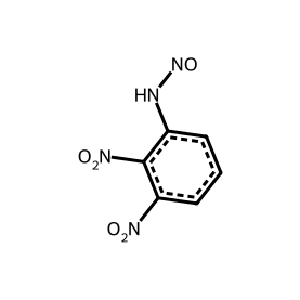 O=NNc1cccc([N+](=O)[O-])c1[N+](=O)[O-]